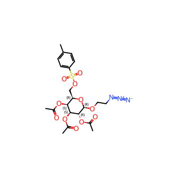 CC(=O)O[C@H]1[C@@H](OC(C)=O)[C@@H](COS(=O)(=O)c2ccc(C)cc2)O[C@@H](OCCN=[N+]=[N-])[C@@H]1OC(C)=O